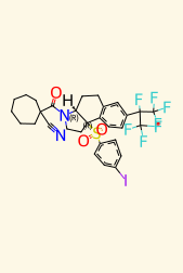 N#CC1(C(=O)N2CC[C@@]3(S(=O)(=O)c4ccc(I)cc4)c4ccc(C(F)(C(F)(F)F)C(F)(F)F)cc4CC[C@@H]23)CCCCCC1